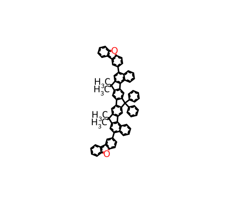 CC1(C)c2cc3c(cc2-c2c1cc(-c1ccc4oc5ccccc5c4c1)c1ccccc21)C(c1ccccc1)(c1ccccc1)c1cc2c(cc1-3)C(C)(C)c1cc(-c3ccc4oc5ccccc5c4c3)c3ccccc3c1-2